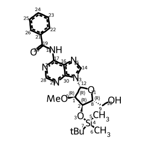 CO[C@@H]1[C@H](O[Si](C)(C)C(C)(C)C)[C@@H](CO)O[C@H]1n1cnc2c(NC(=O)c3ccccc3)ncnc21